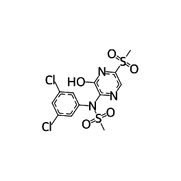 CS(=O)(=O)c1cnc(N(c2cc(Cl)cc(Cl)c2)S(C)(=O)=O)c(O)n1